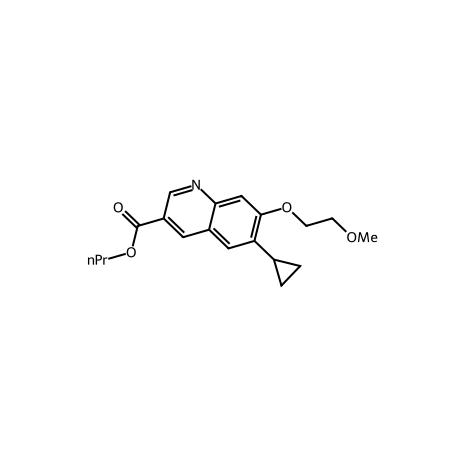 CCCOC(=O)c1cnc2cc(OCCOC)c(C3CC3)cc2c1